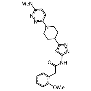 CNc1ccc(N2CCC(c3nnc(NC(=O)Cc4ccccc4OC)s3)CC2)nn1